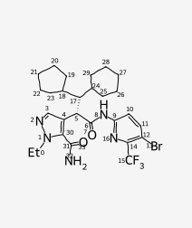 CCn1ncc([C@@H](C(=O)Nc2ccc(Br)c(C(F)(F)F)n2)C(C2CCCCC2)C2CCCCC2)c1C(N)=O